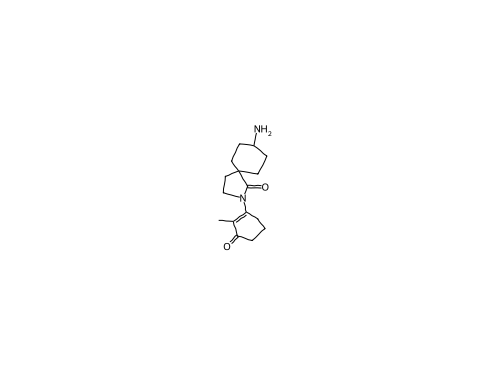 CC1=C(N2CCC3(CCC(N)CC3)C2=O)CCCC1=O